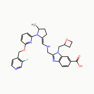 CC1CC/C(=C\NCc2nc3ccc(C(=O)O)cc3n2CC2CCO2)N1c1cccc(OCc2ccncc2F)n1